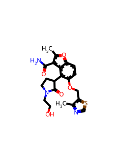 Cc1ncsc1COc1ccc2oc(C)c(C(N)=O)c2c1C1CCN(CCO)C1=O